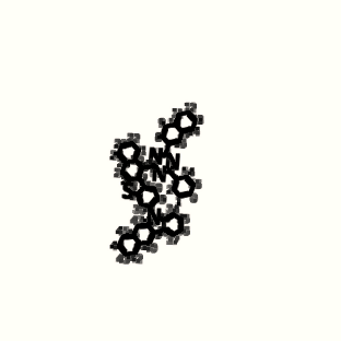 c1ccc(-c2nc(-c3ccc4ccccc4c3)nc(-c3c4ccccc4cc4sc5cc(-n6c7ccccc7c7cc8ccccc8cc76)ccc5c34)n2)cc1